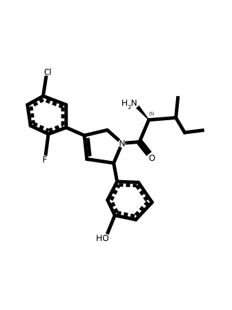 CCC(C)[C@H](N)C(=O)N1CC(c2cc(Cl)ccc2F)=CC1c1cccc(O)c1